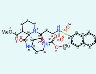 COC(=O)C1CCCN(C(=O)CCNS(=O)(=O)c2ccc3ccccc3c2)C1(C(N)=O)[C@H]1CCCN(C(=O)OC(C)(C)C)C1